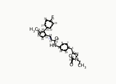 CCn1nc(Cc2ccc(NC(=O)/C=C/c3cnn(C)c3-c3ccc(F)cc3)cc2)oc1=O